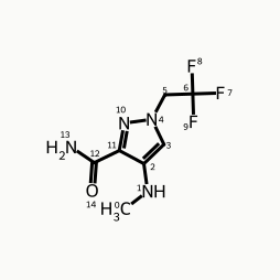 CNc1cn(CC(F)(F)F)nc1C(N)=O